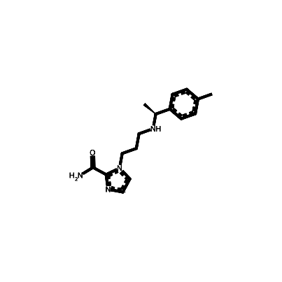 Cc1ccc([C@H](C)NCCCn2c[c]nc2C(N)=O)cc1